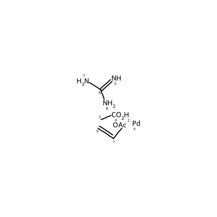 C=COC(C)=O.CC(=O)O.N=C(N)N.[Pd]